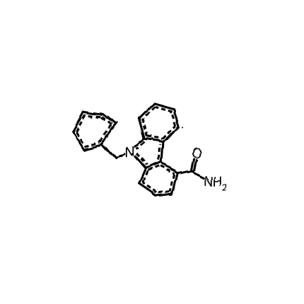 NC(=O)c1cccc2c1c1[c]cccc1n2Cc1ccccc1